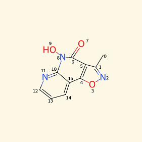 Cc1noc2c1c(=O)n(O)c1ncccc21